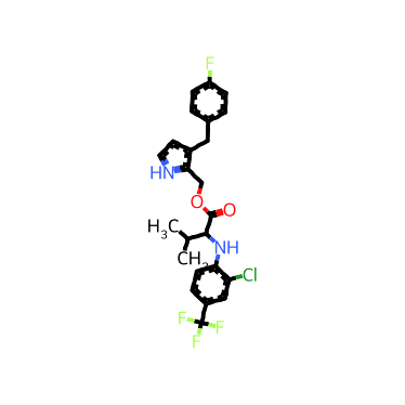 CC(C)C(Nc1ccc(C(F)(F)F)cc1Cl)C(=O)OCc1[nH]ccc1Cc1ccc(F)cc1